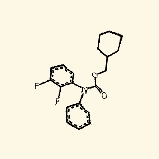 O=C(OCC1CCCCC1)N(c1ccccc1)c1cccc(F)c1F